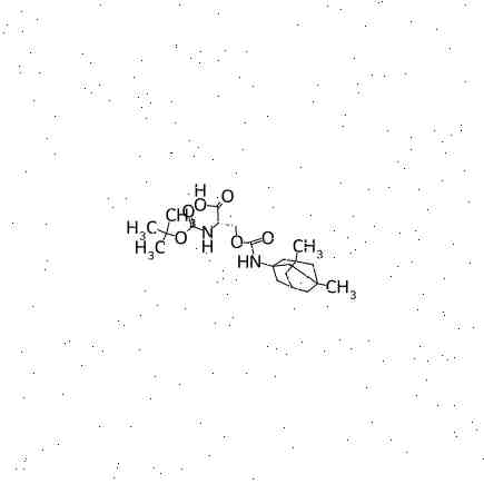 CC12CC3CC(C)(C1)CC(NC(=O)OC[C@H](NC(=O)OC(C)(C)C)C(=O)O)(C3)C2